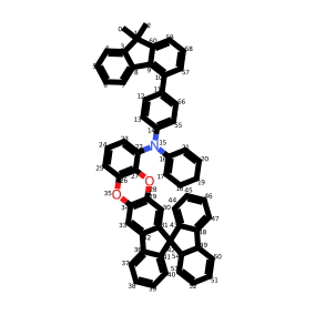 CC1(C)c2ccccc2-c2c(-c3ccc(N(C4=CCCC=C4)c4cccc5c4Oc4cc6c(cc4O5)-c4ccccc4C64c5ccccc5C5C=CC=CC54)cc3)cccc21